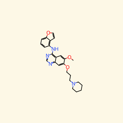 COc1cc2c(Nc3cccc4occc34)ncnc2cc1OCCCN1CCCCC1